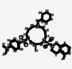 Cc1cccc2c1CCN(S(=O)(=O)N1CCCN(CC3CCCCC3)CCCN(S(=O)(=O)c3ccc(N(C)C)cc3)C[C@H](C)C1)C2